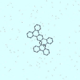 O=c1c2ccccc2c2ccccc2n1-c1ccccc1-c1ccc2c3ccccc3c3ccccc3c2c1